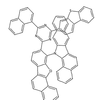 c1ccc2cc3c(cc2c1)c1ccc2ccccc2c1n3-c1c(-c2nc(-c3ccc4c(c3)sc3ccccc34)nc(-c3cccc4ccccc34)n2)ccc2c1oc1c3ccccc3ccc21